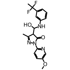 COc1ccc(N2N=C(C)C(C(O)Nc3cccc(C(C)(F)F)c3)C2=O)nc1